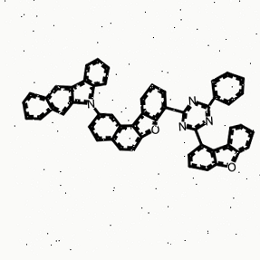 c1ccc(-c2nc(-c3cccc4c3oc3ccc5ccc(-n6c7ccccc7c7cc8ccccc8cc76)cc5c34)nc(-c3cccc4oc5ccccc5c34)n2)cc1